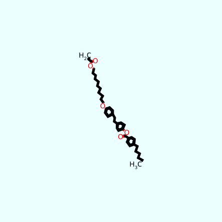 C=CC(=O)OCCCCCCCCCCCOc1ccc(CCc2ccc(OC(=O)c3ccc(CCCCCC)cc3)cc2)cc1